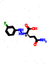 NC(=O)CC[C@H](NNc1cccc(F)c1)C(=O)O